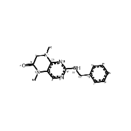 CN1CC(=O)N(C)c2cnc(NCc3ccccc3)nc21